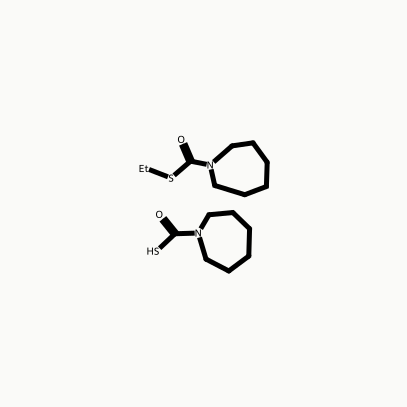 CCSC(=O)N1CCCCCC1.O=C(S)N1CCCCCC1